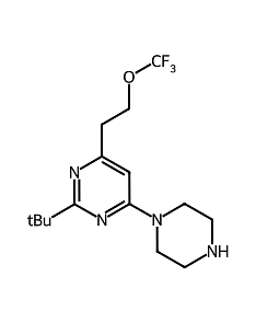 CC(C)(C)c1nc(CCOC(F)(F)F)cc(N2CCNCC2)n1